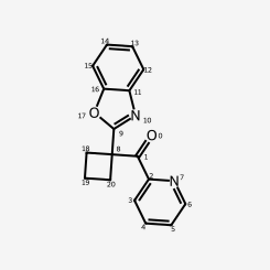 O=C(c1ccccn1)C1(c2nc3ccccc3o2)CCC1